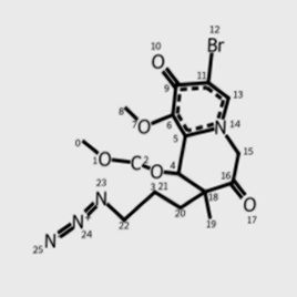 COCOC1c2c(OC)c(=O)c(Br)cn2CC(=O)C1(C)CCCN=[N+]=[N-]